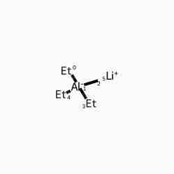 C[CH2][Al-]([CH3])([CH2]C)[CH2]C.[Li+]